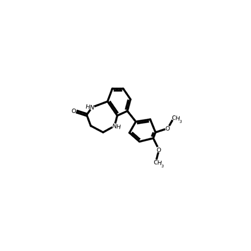 COc1ccc(-c2cccc3c2NCCC(=O)N3)cc1OC